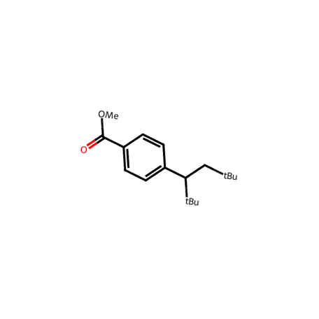 COC(=O)c1ccc(C(CC(C)(C)C)C(C)(C)C)cc1